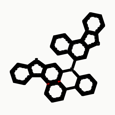 c1ccc(-c2ccccc2N(c2ccc3c(c2)sc2ccccc23)c2cc3oc4ccccc4c3c3ccccc23)cc1